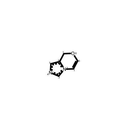 C1=Cn2cncc2CO1